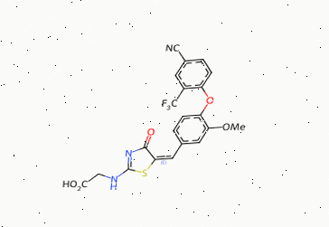 COc1cc(/C=C2/SC(NCC(=O)O)=NC2=O)ccc1Oc1ccc(C#N)cc1C(F)(F)F